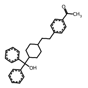 CC(=O)c1ccc(CCC2CCC(C(O)(c3ccccc3)c3ccccc3)CC2)cc1